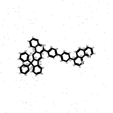 C1=CC2=NC(c3ccc(C4=CCC(c5ccnc6c5ccc5cccnc56)C=C4)cc3)=C3C=C4c5ccccc5C(c5ccccc5)(c5ccccc5)C4CC3C2C=C1